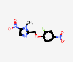 Cn1c([N+](=O)[O-])cnc1COc1ccc([N+](=O)[O-])cc1F